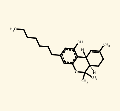 CCCCCCCc1cc(O)c2c(c1)OC(C)(C)[C@@H]1CCC(C)=C[C@@H]21